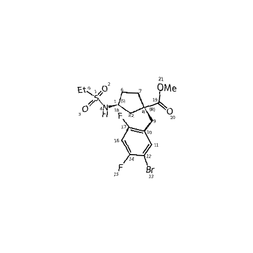 CCS(=O)(=O)N[C@H]1CC[C@](Cc2cc(Br)c(F)cc2F)(C(=O)OC)C1